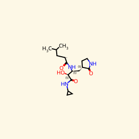 CC(C)C[CH]C(=O)N[C@@H](C[C@@H]1CCNC1=O)[C@H](O)C(=O)NC1CC1